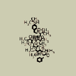 CC[C@H](C)[C@@H]([C@@H](CC(=O)N(CC)[C@@H](CC)[C@H](OC)[C@@H](C)C(=O)N[C@@H](Cc1ccccc1)C(=O)OC)OC)N(C)C(=O)[C@@H](NC(=O)[C@H](C(C)C)N(C)CCc1ccc(NC(C)C)cc1)C(C)C